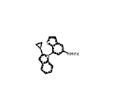 CCCCCCc1cc(-n2c(C3CC3)cc3ccccc32)c2sccc2c1